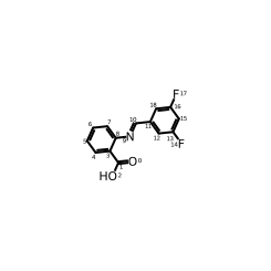 O=C(O)c1ccccc1N=Cc1cc(F)cc(F)c1